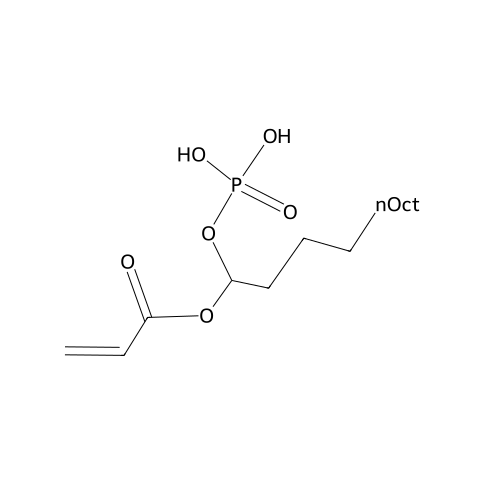 C=CC(=O)OC(CCCCCCCCCCC)OP(=O)(O)O